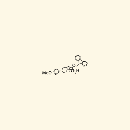 COc1ccc([C@H]2CC[C@](NC(=O)OCC3c4ccccc4-c4ccccc43)(C(=O)O)CC2)cc1